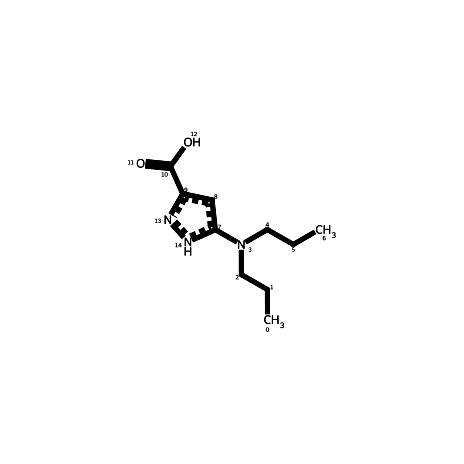 CCCN(CCC)c1cc(C(=O)O)n[nH]1